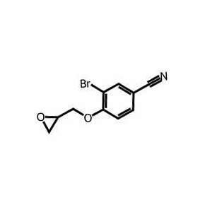 N#Cc1ccc(OCC2CO2)c(Br)c1